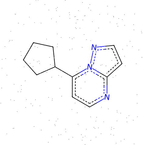 c1cc(C2CCCC2)n2nccc2n1